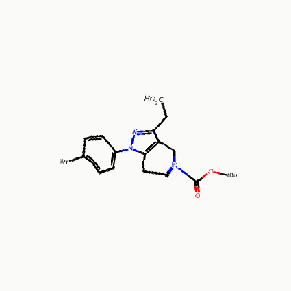 CC(C)c1ccc(-n2nc(CC(=O)O)c3c2CCN(C(=O)OC(C)(C)C)C3)cc1